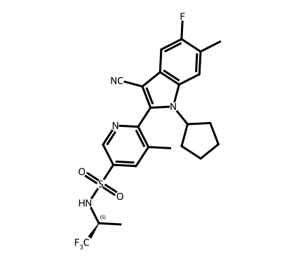 Cc1cc2c(cc1F)c(C#N)c(-c1ncc(S(=O)(=O)N[C@@H](C)C(F)(F)F)cc1C)n2C1CCCC1